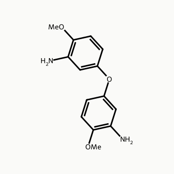 COc1ccc(Oc2ccc(OC)c(N)c2)cc1N